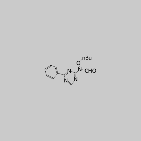 CCCCON(C=O)c1ncnc(-c2ccccc2)n1